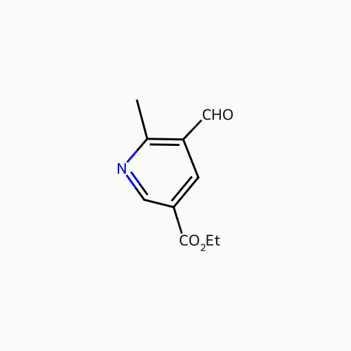 CCOC(=O)c1cnc(C)c(C=O)c1